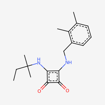 CCC(C)(C)Nc1c(NCc2cccc(C)c2C)c(=O)c1=O